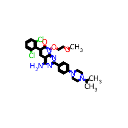 COCCOn1c(=O)c(-c2c(Cl)cccc2Cl)cc2c(N)nc(-c3ccc(N4CCN(C(C)C)CC4)cc3)nc21